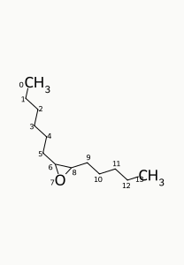 CCCCCCC1OC1CCCCC